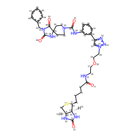 O=C(CCCC[C@@H]1SC[C@@H]2NC(=O)N[C@@H]21)NCCOCCn1cc(-c2cccc(NC(=O)N3CCC4(CC3)NC(=O)N(Cc3ccccc3)C4=O)c2)nn1